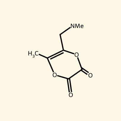 CNCc1oc(=O)c(=O)oc1C